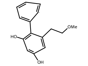 COCCc1cc(O)cc(O)c1-c1[c]cccc1